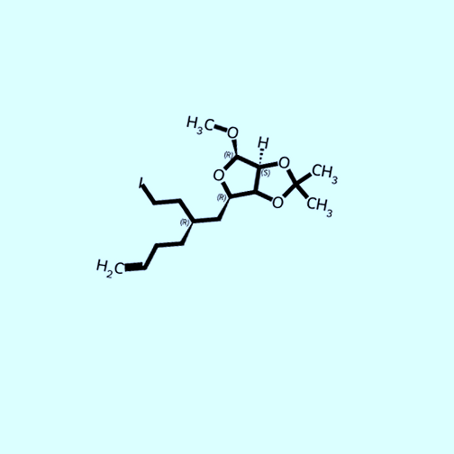 C=CCC[C@@H](CCI)C[C@H]1O[C@@H](OC)[C@H]2OC(C)(C)OC12